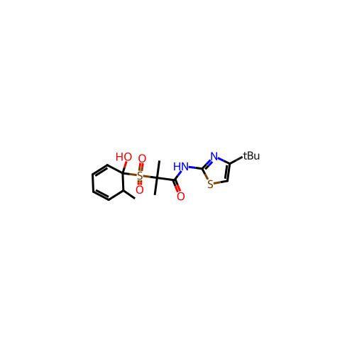 CC1C=CC=CC1(O)S(=O)(=O)C(C)(C)C(=O)Nc1nc(C(C)(C)C)cs1